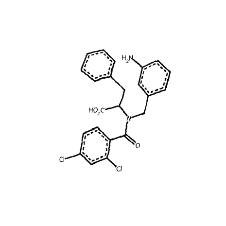 Nc1cccc(CN(C(=O)c2ccc(Cl)cc2Cl)C(Cc2ccccc2)C(=O)O)c1